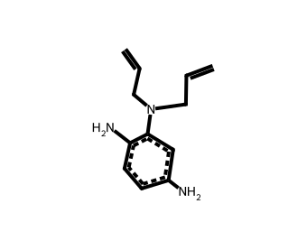 C=CCN(CC=C)c1cc(N)ccc1N